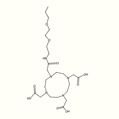 CCCOCCOCCNC(=O)CN1CCN(CC(=O)O)CCN(CC(=O)O)CCN(CC(=O)O)CC1